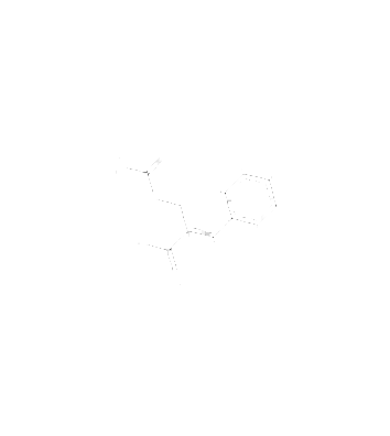 CC(=O)SCC(=Cc1ccccc1)C(=O)O